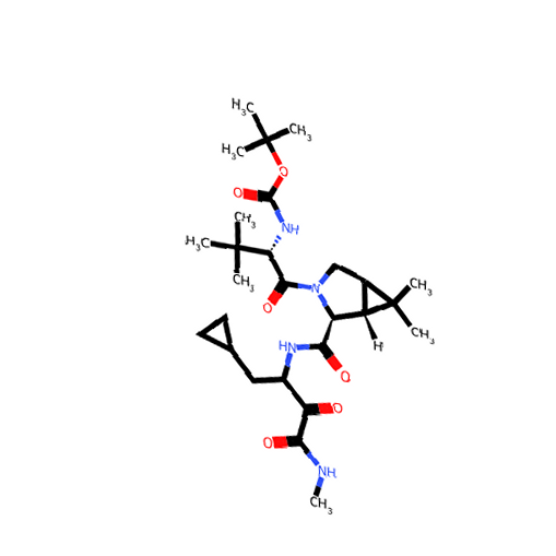 CNC(=O)C(=O)C(CC1CC1)NC(=O)[C@@H]1[C@@H]2C(CN1C(=O)[C@@H](NC(=O)OC(C)(C)C)C(C)(C)C)C2(C)C